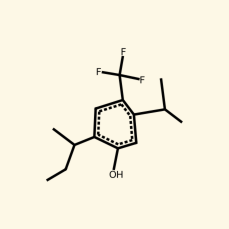 CCC(C)c1cc(C(F)(F)F)c(C(C)C)cc1O